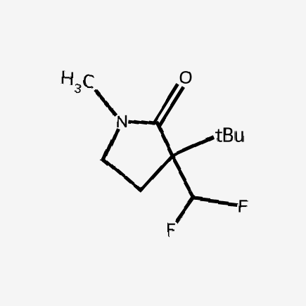 CN1CCC(C(F)F)(C(C)(C)C)C1=O